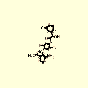 Cc1nn(-c2cc(F)c(NC(=O)[C@H](O)c3cccc(Cl)c3)cc2F)c2c(N)ncnc12